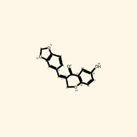 O=C1/C(=C\c2ccc3c(c2)OCO3)COc2ccc(O)cc21